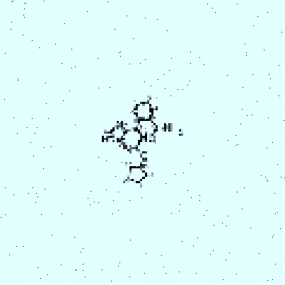 NC(=O)c1ccccc1-c1nc(OC2CCCC2)nc2[nH]cnc12